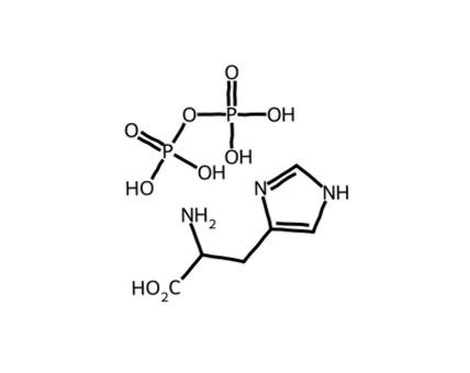 NC(Cc1c[nH]cn1)C(=O)O.O=P(O)(O)OP(=O)(O)O